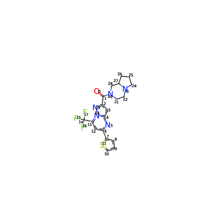 O=C(c1cc2nc(-c3cccs3)cc(C(F)(F)F)n2n1)N1CCN2CCCC2C1